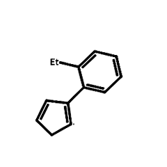 CCc1ccccc1C1=[C]CC=C1